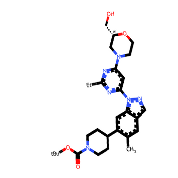 CCc1nc(N2CCO[C@@H](CO)C2)cc(-n2ncc3cc(C)c(C4CCN(C(=O)OC(C)(C)C)CC4)cc32)n1